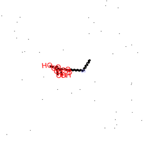 CCCCCCCC/C=C\CCCCCCCC(=O)OCCOCC(OCCO)C1OCC(OCCO)C1OCCO